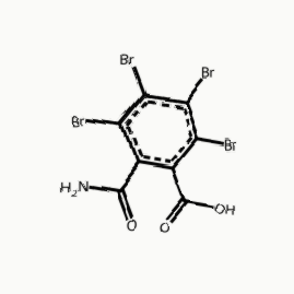 NC(=O)c1c(Br)c(Br)c(Br)c(Br)c1C(=O)O